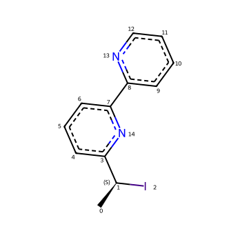 C[C@H](I)c1cccc(-c2ccccn2)n1